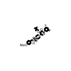 COc1ccc(CNS(=O)(=O)N2CCN(c3cnn(-c4cc(F)cc(F)c4)c(=O)c3OCC3(C)CC3)CC2)cc1